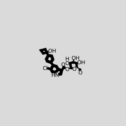 O=C[C@H]1O[C@@H](OC(=O)c2c[nH]c3cc(Cl)c(-c4ccc(C5(O)CCC5)cc4)cc23)[C@H](O)[C@@H](O)[C@@H]1O